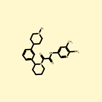 CC(=O)N1CCC(c2cccc(C3CCCCN3C(=O)C(=O)Nc3cnc(N)c(C)c3)c2)CC1